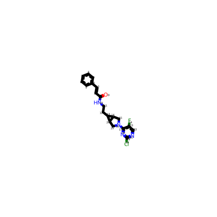 O=C(C=Cc1ccccc1)NCCC1C2CN(c3nc(Cl)ncc3F)CC12